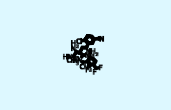 CNC(=O)/C(N)=C(/C=C(\N)c1cc(C#N)ccc1Cl)C(=N)N[C@H](C)c1cccc(C(F)F)c1F